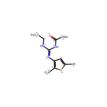 CCCc1cc(N=C(NCC(=O)OCC)NC(=O)OC)c([N+](=O)[O-])s1